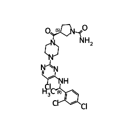 C[C@@H](Nc1nc(N2CCN(C(=O)[C@H]3CCN(C(N)=O)C3)CC2)ncc1Cl)c1ccc(Cl)cc1Cl